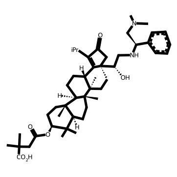 CC(C)C1=C2[C@H]3CC[C@@H]4[C@@]5(C)CC[C@H](OC(=O)CC(C)(C)C(=O)O)C(C)(C)[C@@H]5CC[C@@]4(C)[C@]3(C)CC[C@@]2([C@@H](O)CN[C@@H](CN(C)C)c2ccccc2)CC1=O